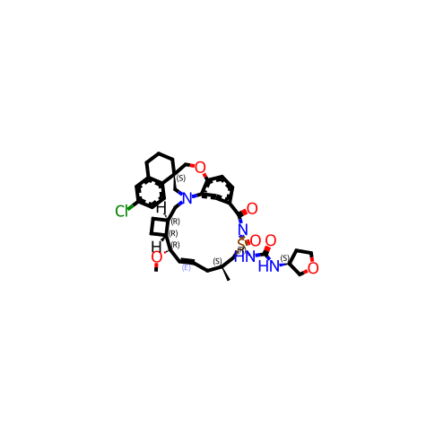 CO[C@H]1/C=C/C[C@H](C)C[S@@](=O)(NC(=O)N[C@H]2CCOC2)=NC(=O)c2ccc3c(c2)N(C[C@@H]2CC[C@H]21)C[C@@]1(CCCc2cc(Cl)ccc21)CO3